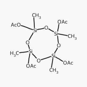 CC(=O)O[Si]1(C)O[Si](C)(OC(C)=O)O[Si](C)(OC(C)=O)O[Si](C)(OC(C)=O)O1